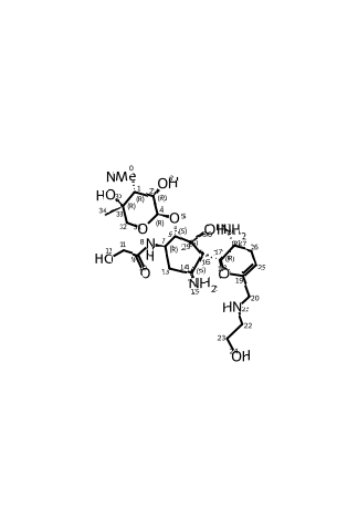 CN[C@@H]1[C@@H](O)[C@@H](O[C@H]2[C@H](NC(=O)CO)C[C@H](N)C([C@H]3OC(CNCCO)=CC[C@H]3N)[C@@H]2O)OC[C@]1(C)O